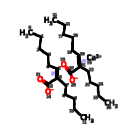 CCCCC/C=C(/CCCCC)C(=O)[O-].CCCCC/C=C(/CCCCC)C(=O)[O-].[Ca+2]